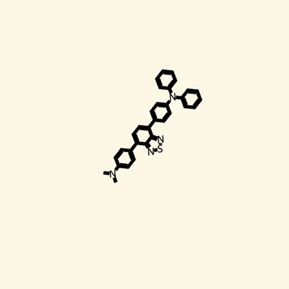 CN(C)c1ccc(-c2ccc(-c3ccc(N(c4ccccc4)c4ccccc4)cc3)c3nsnc23)cc1